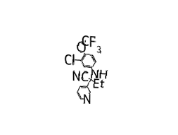 CCC(C#N)(Nc1ccc(OC(F)(F)F)c(Cl)c1)c1cccnc1